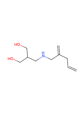 C=CCC(=C)CNCC(CO)CO